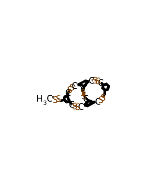 CCSSCc1cc2cc(c1)CSSCc1cc3cc(c1)CSSCc1cc(cc(c1)CSSC2)CSSCc1cccc(c1)CSSC3